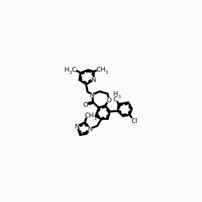 Cc1cc(C)nc(CN2CCOc3c(cc(Cn4ccnc4C)cc3-c3cc(Cl)ccc3C)C2=O)c1